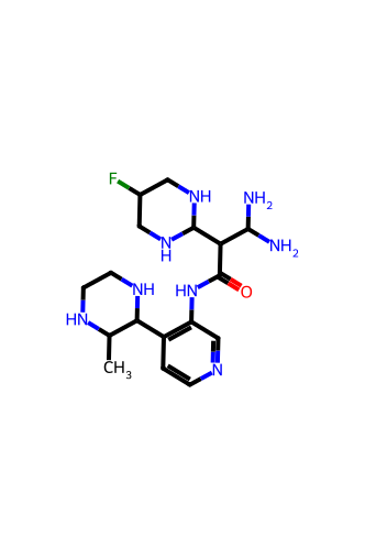 CC1NCCNC1c1ccncc1NC(=O)C(C(N)N)C1NCC(F)CN1